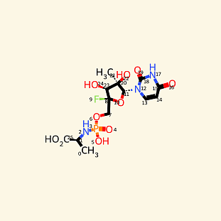 C[C@H](NP(=O)(O)OC[C@@]1(F)O[C@@H](n2ccc(=O)[nH]c2=O)[C@](C)(O)[C@@H]1O)C(=O)O